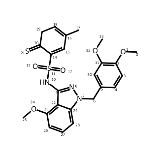 COc1ccc(Cn2nc(NS(=O)(=O)C3=CC(C)=CCC3=S)c3c(OC)cccc32)cc1OC